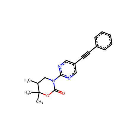 CC1CN(c2ncc(C#Cc3ccccc3)cn2)C(=O)OC1(C)C